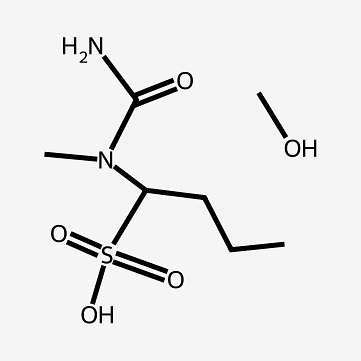 CCCC(N(C)C(N)=O)S(=O)(=O)O.CO